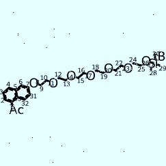 CC(=O)c1cccc2cc(OCCOCCOCCOCCOCCOCCO[Si](C)(C)C(C)(C)C)ccc12